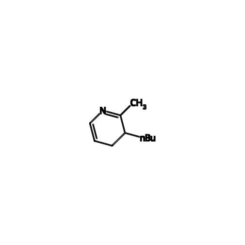 CCCCC1CC=CN=C1C